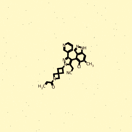 C=CC(=O)N1CC2(CC(n3nc(-c4cccnc4)c(-c4c(Cl)c(C)cc5[nH]ncc45)c3CC#N)C2)C1